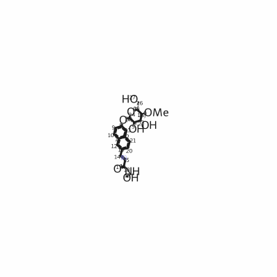 CO[C@H]1C(O)C(O)[C@@H](Oc2ccc3cc(/C=C/C(=O)NO)ccc3c2)O[C@@H]1CO